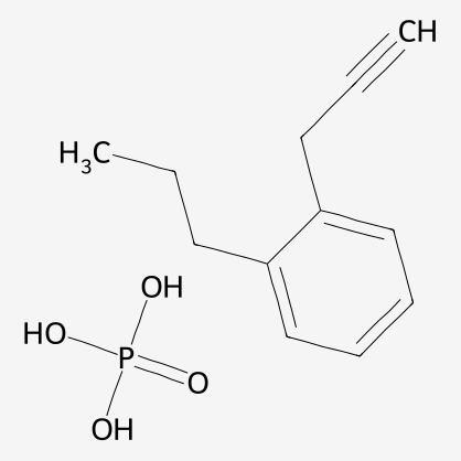 C#CCc1ccccc1CCC.O=P(O)(O)O